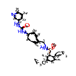 O=C(Nc1ccc(CN[S+]([O-])c2cc(C(F)(F)F)ccc2C(F)(F)F)cc1)Nc1cccnc1